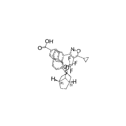 O=C(O)c1ccc2cc(SC3[C@@H]4CC[C@H]3CC(OCc3c(-c5ccccc5OC(F)(F)F)noc3C3CC3)C4)ccc2c1